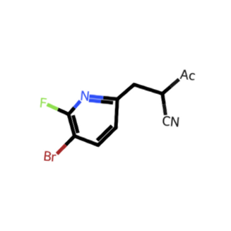 CC(=O)C(C#N)Cc1ccc(Br)c(F)n1